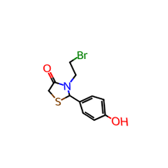 O=C1CSC(c2ccc(O)cc2)N1CCBr